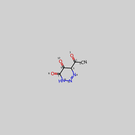 N#CC(=O)C1N=NNC(=O)C1=O